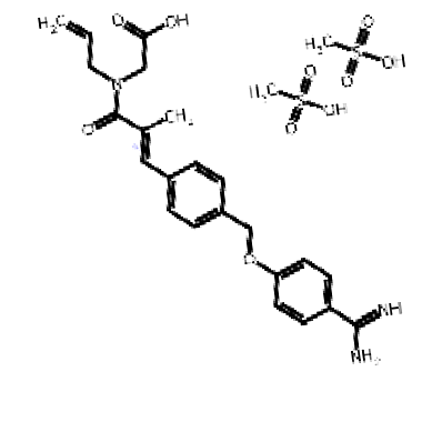 C=CCN(CC(=O)O)C(=O)/C(C)=C/c1ccc(COc2ccc(C(=N)N)cc2)cc1.CS(=O)(=O)O.CS(=O)(=O)O